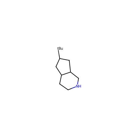 CC(C)(C)C1CC2CCNCC2C1